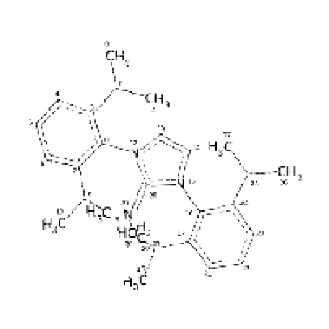 CC(C)c1cccc(C(C)C)c1-n1ccn(-c2c(C(C)C)cccc2C(C)C)c1=NO